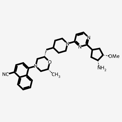 CO[C@H]1CC(c2nccc(N3CCC(C[C@H]4CN(c5ccc(C#N)c6ccccc56)C[C@@H](C)O4)CC3)n2)C[C@H]1N